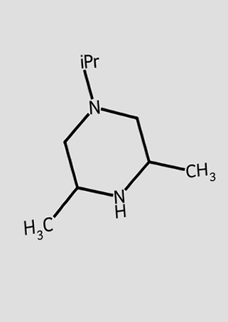 CC1CN(C(C)C)CC(C)N1